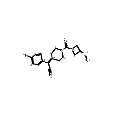 COC1CN(C(=O)N2CCC(=C(C#N)c3ccc(F)cc3)CC2)C1